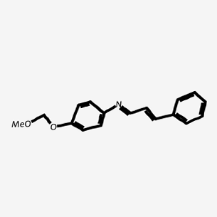 COCOc1ccc(N=C/C=C/c2ccccc2)cc1